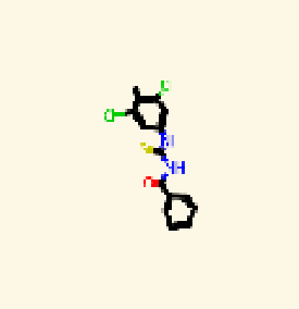 Cc1c(Cl)cc(NC(=S)NC(=O)c2ccccc2)cc1Cl